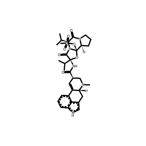 CC(C)[C@H]1C(=O)N2CCC[C@H]2[C@]2(OS(C)(=O)=O)O[C@](NC(=O)[C@@H]3C=C4c5cccc6[nH]cc(c56)C[C@H]4N(C)C3)(C(C)C)C(=O)N12